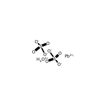 O=S(=O)([O-])[O-].O=S(=O)([O-])[O-].[OH4+2].[Pb+2]